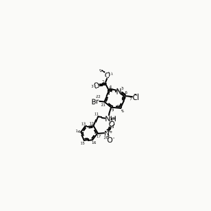 COC(=O)c1nc(Cl)cc(NCc2ccccc2[N+](=O)[O-])c1Br